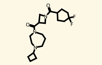 O=C(C1CN(C(=O)C2CCC(F)(F)CC2)C1)N1CCCN(C2CCC2)CC1